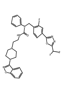 O=C(NCCN1CCN(c2noc3ccccc23)CC1)N(Cc1ccc(-c2nnc(C(F)F)o2)cc1F)c1ccccc1